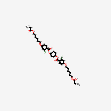 C=CC(=O)OCCCCCCOc1ccc(C(=O)OC2CCC(OC(=O)c3ccc(OCCCCCCOC(=O)C=C)cc3Cl)CC2)c(Cl)c1